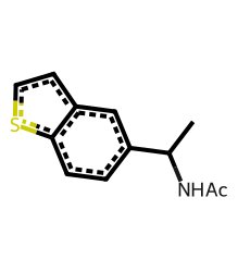 CC(=O)NC(C)c1ccc2sccc2c1